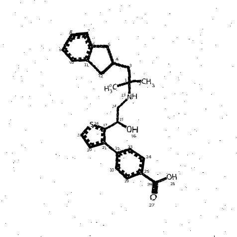 CC(C)(CC1Cc2ccccc2C1)NCC(O)c1sccc1-c1ccc(C(=O)O)cc1